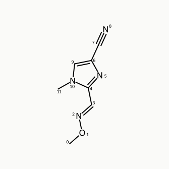 CON=Cc1nc(C#N)cn1C